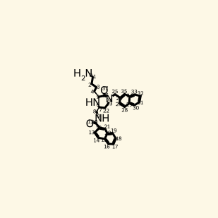 NCCCC[C@@H]1N[C@H](CNC(=O)c2ccc3ccccc3c2)CCN(Cc2ccc3ccccc3c2)C1=O